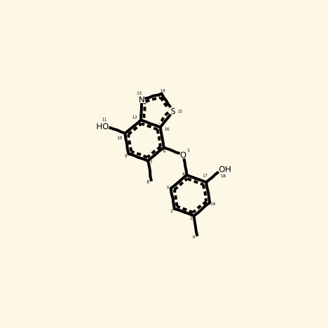 Cc1ccc(Oc2c(C)cc(O)c3ncsc23)c(O)c1